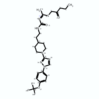 CCCC(=O)CS/C(C)=N\C(=O)NCCC1CCN(c2ncn(-c3ccc(OC(F)(F)F)cc3)n2)CC1